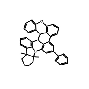 CC12CCCCC1(C)N1c3cc(-c4ccccc4)cc4c3B(c3cccc2c31)N1c2ccccc2Oc2cccc-4c21